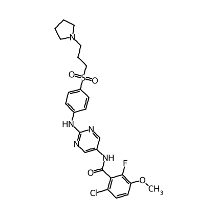 COc1ccc(Cl)c(C(=O)Nc2cnc(Nc3ccc(S(=O)(=O)CCCN4CCCC4)cc3)nc2)c1F